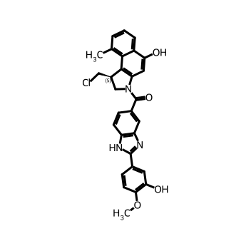 COc1ccc(-c2nc3cc(C(=O)N4C[C@@H](CCl)c5c4cc(O)c4cccc(C)c54)ccc3[nH]2)cc1O